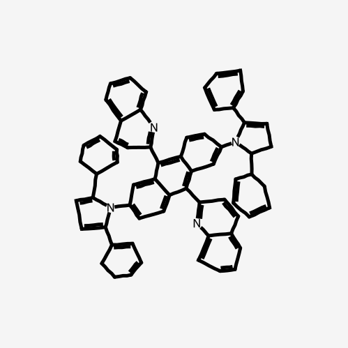 C1=CCCC(c2ccc(C3C=CC=CC3)n2-c2ccc3c(-c4ccc5ccccc5n4)c4cc(N5C(c6ccccc6)=CCC5C5C=CC=CC5)ccc4c(-c4ccc5ccccc5n4)c3c2)=C1